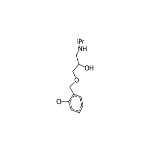 CC(C)NCC(O)COCc1ccccc1Cl